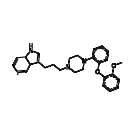 COc1ccccc1Oc1ccccc1N1CCN(CCCC2=CNC3C=CI=CC23)CC1